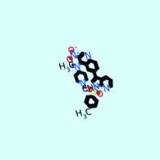 Cc1ccc(S(=O)(=O)n2cc(-c3ccc4ncc([N+](=O)[O-])c(N(C)C5CCN(C)CC5)c4c3)c3cccnc32)cc1